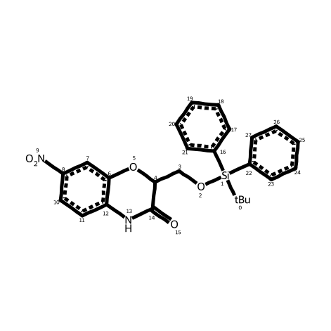 CC(C)(C)[Si](OCC1Oc2cc([N+](=O)[O-])ccc2NC1=O)(c1ccccc1)c1ccccc1